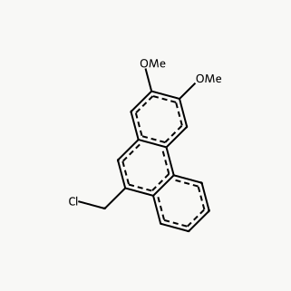 COc1cc2cc(CCl)c3ccccc3c2cc1OC